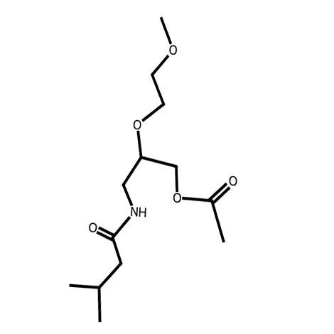 COCCOC(CNC(=O)CC(C)C)COC(C)=O